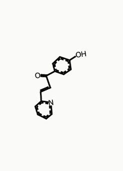 O=C(C=Cc1ccccn1)c1ccc(O)cc1